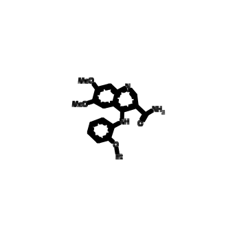 CCOc1ccccc1Nc1c(C(N)=O)cnc2cc(OC)c(OC)cc12